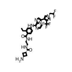 CCc1cc(Nc2nccn3c(-c4cn(CC(F)F)nc4C(F)(F)F)cnc23)ccc1C(=O)NCCNC(=O)[C@H]1C[C@@H](N)C1